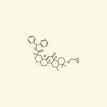 CC1C[C@]2(C)[C@H](C(=O)C=C3[C@@H]4C[C@@](C)(C(=O)OC(c5ccccc5)c5ccccc5)CC[C@]4(C)CC[C@]32C)[C@@]2(C)CC[C@H](OCC3CO3)C(C)(C)C12